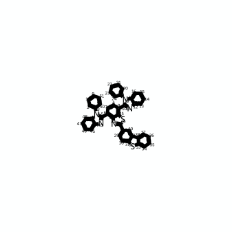 c1ccc(-n2c(-c3ccc(-c4nc5ccccc5n4-c4ccccc4)c4sc(-c5ccc6sc7ccccc7c6c5)nc34)nc3ccccc32)cc1